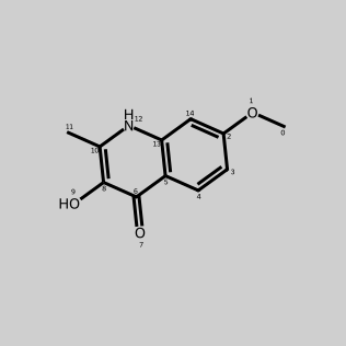 COc1ccc2c(=O)c(O)c(C)[nH]c2c1